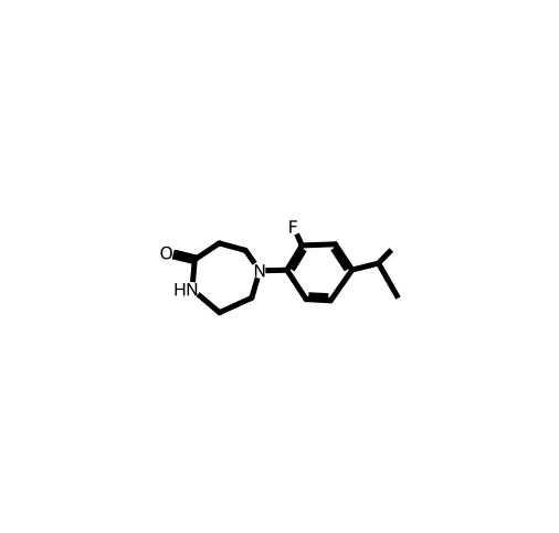 CC(C)c1ccc(N2CCNC(=O)CC2)c(F)c1